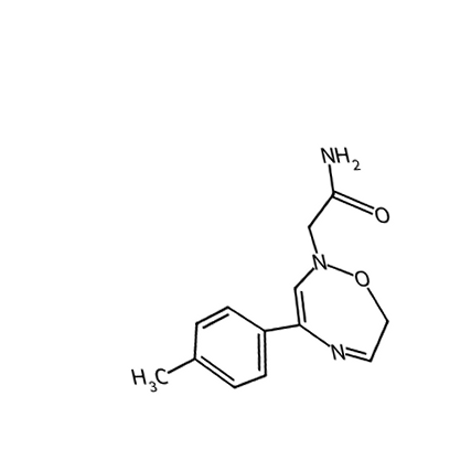 Cc1ccc(C2=CN(CC(N)=O)OCC=N2)cc1